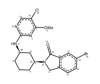 COc1nc(N[C@@H]2CCC[C@H](N3Cc4ccc(Br)cc4C3=O)C2)ncc1Cl